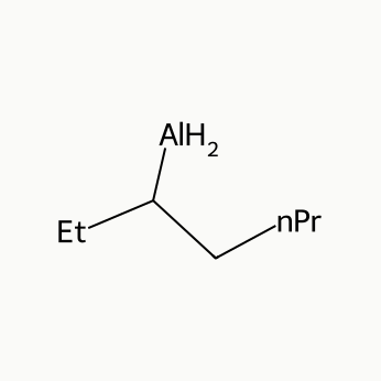 CCCC[CH]([AlH2])CC